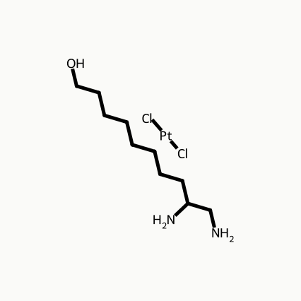 NCC(N)CCCCCCCCO.[Cl][Pt][Cl]